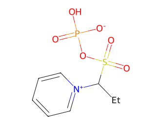 CCC([n+]1ccccc1)S(=O)(=O)OP(=O)([O-])O